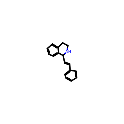 C(=CC1NCCc2ccccc21)c1ccccc1